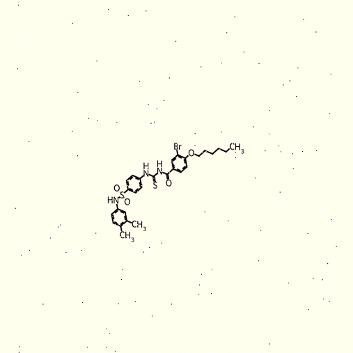 CCCCCCOc1ccc(C(=O)NC(=S)Nc2ccc(S(=O)(=O)Nc3ccc(C)c(C)c3)cc2)cc1Br